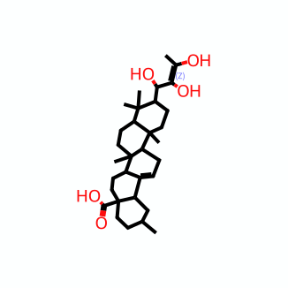 C/C(O)=C(/O)C(O)C1CCC2(C)C(CCC3(C)C4CCC5(C(=O)O)CCC(C)CC5C4=CCC32)C1(C)C